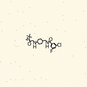 CN(C(=O)CNC1CCC(CNC(=O)c2cc(F)cc(Cl)c2)CC1)C(C)(C)C